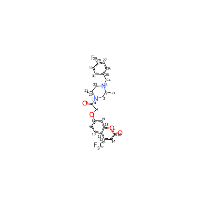 CC1CN(C(=O)COc2ccc3c(C(F)(F)F)cc(=O)oc3c2)C(C)CN1Cc1ccc(F)cc1